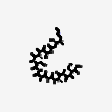 C/C=C/C[C@@H](C)[C@@H](O)CC(=O)N[C@@H](CC)C(=O)N(C)[C@H](C)C(=O)N(C)[C@@H](CC(C)C)C(=O)NC(=O)N(C)C(=O)NC(=O)N[C@@H](C)C(=O)N(C)C(=O)N(C)[C@@H](CC(C)C)C(=O)NC